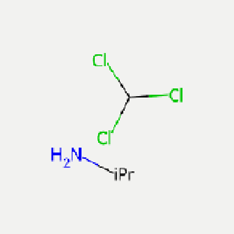 CC(C)N.ClC(Cl)Cl